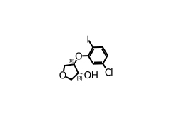 O[C@@H]1COC[C@H]1Oc1cc(Cl)ccc1I